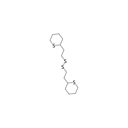 C1CCC(CCSSCCC2CCCCS2)SC1